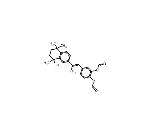 CC(=Cc1ccc(OC=O)c(OC=O)c1)c1ccc2c(c1)C(C)(C)CCC2(C)C